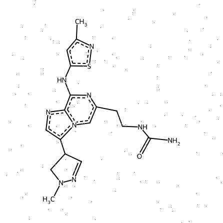 Cc1cc(Nc2nc(CCNC(N)=O)cn3c(C4C=NN(C)C4)cnc23)sn1